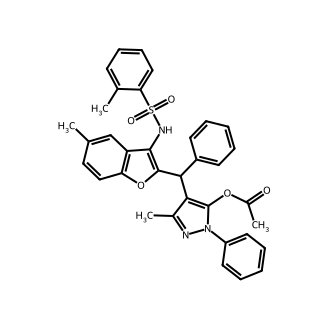 CC(=O)Oc1c(C(c2ccccc2)c2oc3ccc(C)cc3c2NS(=O)(=O)c2ccccc2C)c(C)nn1-c1ccccc1